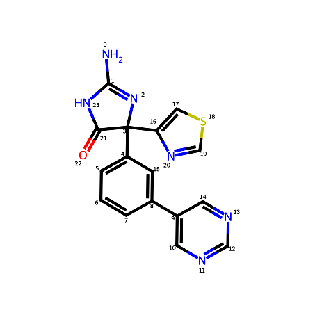 NC1=NC(c2cccc(-c3cncnc3)c2)(c2cscn2)C(=O)N1